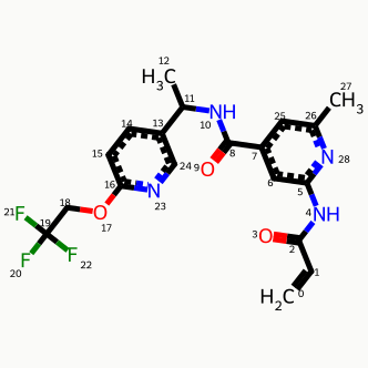 C=CC(=O)Nc1cc(C(=O)NC(C)c2ccc(OCC(F)(F)F)nc2)cc(C)n1